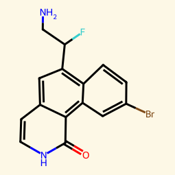 NCC(F)c1cc2cc[nH]c(=O)c2c2cc(Br)ccc12